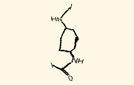 O=C(I)NC1CCC(NI)CC1